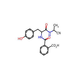 CC(C#N)NC(=O)C(Cc1ccc(O)cc1)NC(=O)c1ccccc1C(=O)O